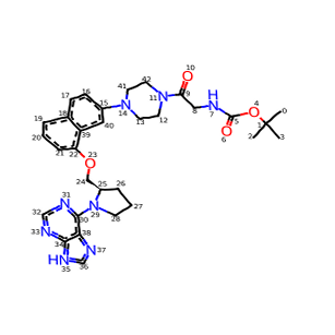 CC(C)(C)OC(=O)NCC(=O)N1CCN(c2ccc3cccc(OC[C@H]4CCCN4c4ncnc5[nH]cnc45)c3c2)CC1